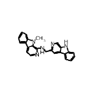 Cn1c2ccccc2c2ccnc(NCc3cc4c(cn3)[nH]c3ccccc34)c21